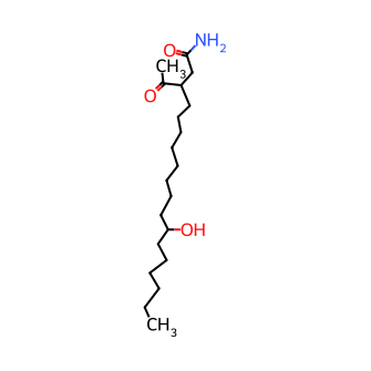 CCCCCCC(O)CCCCCCCCC(CC(N)=O)C(C)=O